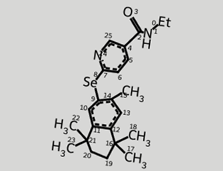 CCNC(=O)c1ccc([Se]c2cc3c(cc2C)C(C)(C)CCC3(C)C)nc1